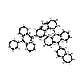 c1ccc(-c2c3ccccc3c(-c3ccc4c(c3)sc3cccc(-c5c6ccccc6c(-c6ccc7ccccc7c6)c6ccccc56)c34)c3ccccc23)cc1